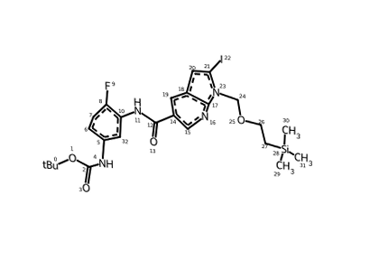 CC(C)(C)OC(=O)Nc1ccc(F)c(NC(=O)c2cnc3c(c2)cc(I)n3COCC[Si](C)(C)C)c1